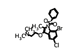 Cc1c(OCCN(C)C)c2cc(Cl)cc(Br)c2n1S(=O)(=O)c1ccccc1